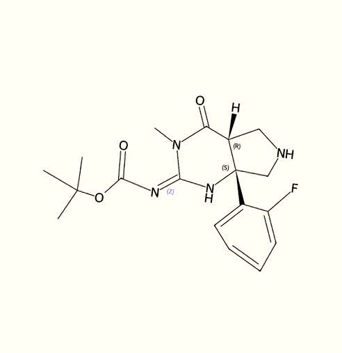 CN1C(=O)[C@@H]2CNC[C@]2(c2ccccc2F)N/C1=N/C(=O)OC(C)(C)C